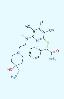 CCc1c(C#N)c(SC(C(N)=O)c2ccccc2)nc(N(C)CCN2CCC(O)(CN)CC2)c1C#N